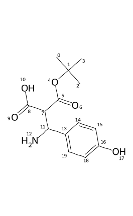 CC(C)(C)OC(=O)C(C(=O)O)C(N)c1ccc(O)cc1